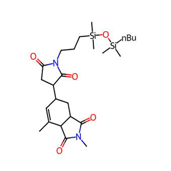 CCCC[Si](C)(C)O[Si](C)(C)CCCN1C(=O)CC(C2C=C(C)C3C(=O)N(C)C(=O)C3C2)C1=O